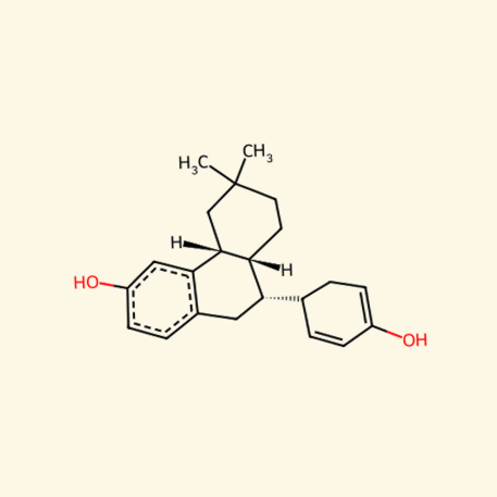 CC1(C)CC[C@H]2[C@@H](C1)c1cc(O)ccc1C[C@H]2C1C=CC(O)=CC1